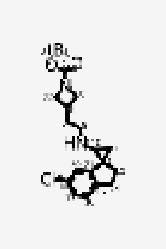 CC(C)(C)OC(=O)N1CC(CCNC2CC23CCc2ccc(Cl)cc23)C1